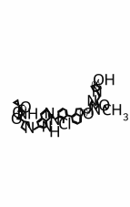 COc1nc(O[C@@H]2CCc3c(-c4cccc(Nc5nccc6cc(CN7CCC(C(=O)NS(=O)(=O)C8CC8)C7)cnc56)c4Cl)cccc32)cnc1CN1CC[C@@H](O)C1